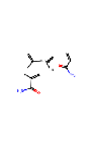 C=C(C)C#N.C=C(C)C(N)=O.C=CC#N.C=CC(N)=O